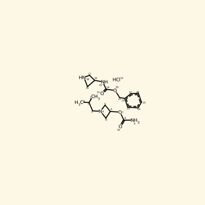 CC(C)CN1CC(OC(N)=O)C1.Cl.O=C(NC1CNC1)OCc1ccccc1